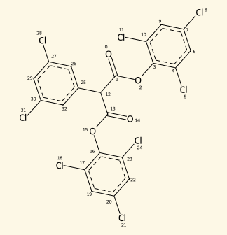 O=C(Oc1c(Cl)cc(Cl)cc1Cl)C(C(=O)Oc1c(Cl)cc(Cl)cc1Cl)c1cc(Cl)cc(Cl)c1